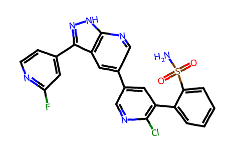 NS(=O)(=O)c1ccccc1-c1cc(-c2cnc3[nH]nc(-c4ccnc(F)c4)c3c2)cnc1Cl